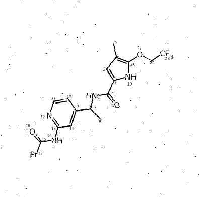 Cc1cc(C(=O)NC(C)c2ccnc(NC(=O)C(C)C)c2)[nH]c1OCC(F)(F)F